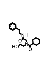 O=C(CN(CCO)C(=O)C1CCCCC1)NCCc1ccccc1